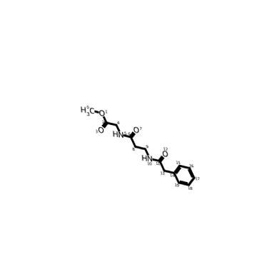 COC(=O)CNC(=O)CCNC(=O)Cc1ccccc1